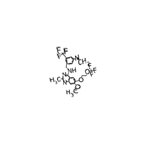 C=Nc1cc(CNc2nc(C)nc3cc(OC)c(OCCOC(F)(F)F)cc23)cc(C(F)(F)F)c1